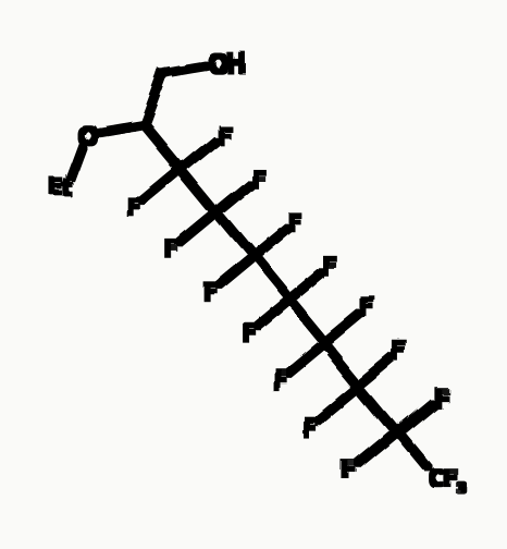 CCOC(CO)C(F)(F)C(F)(F)C(F)(F)C(F)(F)C(F)(F)C(F)(F)C(F)(F)C(F)(F)F